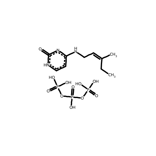 CCC(C)=CCNc1cc[nH]c(=O)n1.O=P(O)(O)OP(=O)(O)OP(=O)(O)O